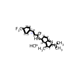 Cc1cc(N(C)C)nc2ccc(NC(=O)/C=C/c3ccc(C(F)(F)F)cc3)cc12.Cl